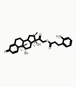 C[C@@H]1CC2C3CCC4=CC(=O)C=C[C@]4(C)[C@@]3(F)[C@@H](O)C[C@]2(C)[C@@]1(O)C(=O)COC(=O)CCc1ccccc1N